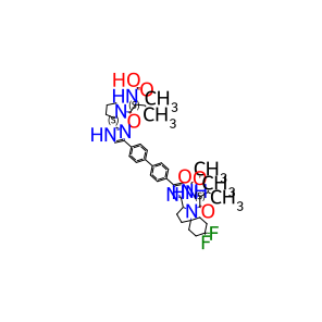 COC(=O)N[C@H](C(=O)N1C(c2nc(-c3ccc(-c4ccc(-c5c[nH]c([C@@H]6CCCN6C(=O)[C@@H](NC(=O)O)C(C)C)n5)cc4)cc3)c[nH]2)CCC12CCC(F)(F)CC2)C(C)C